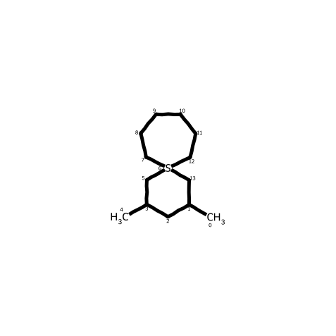 CC1CC(C)CS2(CCCCCC2)C1